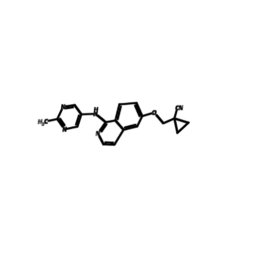 Cc1ncc(Nc2nccc3cc(OCC4(C#N)CC4)ccc23)cn1